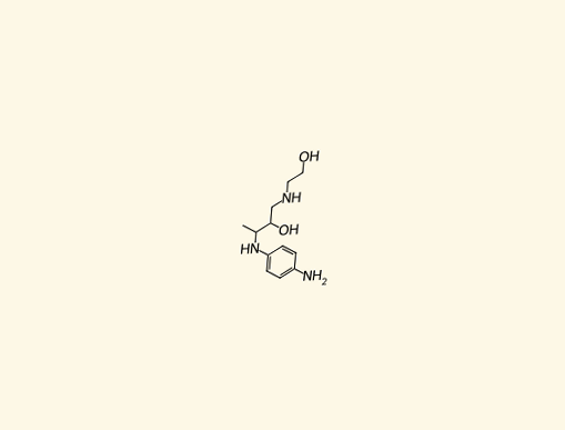 CC(Nc1ccc(N)cc1)C(O)CNCCO